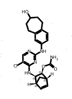 NC(=O)O[C@@H]1[C@H](Nc2nc(Nc3ccc4c(c3)CCC(O)CC4)ncc2Cl)[C@H]2C=C[C@@H]1C2